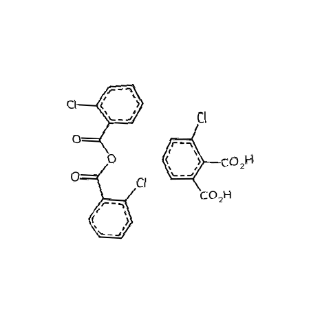 O=C(O)c1cccc(Cl)c1C(=O)O.O=C(OC(=O)c1ccccc1Cl)c1ccccc1Cl